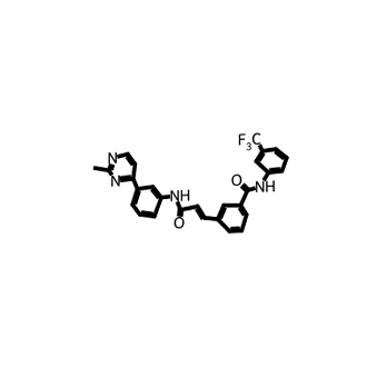 Cc1nccc(-c2cccc(NC(=O)C=Cc3cccc(C(=O)Nc4cccc(C(F)(F)F)c4)c3)c2)n1